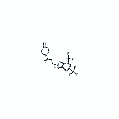 O=C(CCc1nc2c(C(F)(F)F)cc(C(F)(F)F)cc2[nH]1)N1CCNCC1